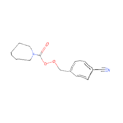 N#Cc1ccc(COOC(=O)N2CCCCC2)cc1